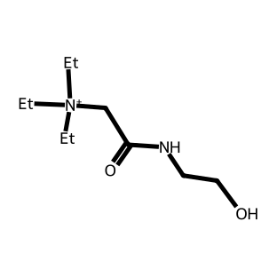 CC[N+](CC)(CC)CC(=O)NCCO